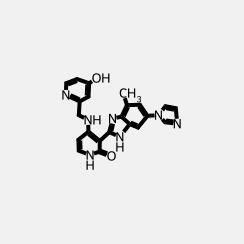 Cc1cc(-n2ccnc2)cc2[nH]c(-c3c(NCc4cc(O)ccn4)cc[nH]c3=O)nc12